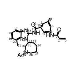 C=CC(=O)Nc1cc(C)cc(C(=O)Nc2nc3cccc(C)c3n2[C@@H]2CCCCN(C(C)=O)C2)c1